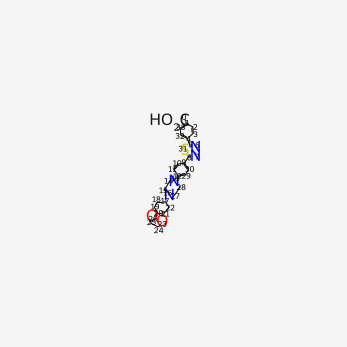 O=C(O)c1ccc(-c2nnc(-c3ccc(N4CCN(C5CCC6(CC5)OCCO6)CC4)cc3)s2)cc1